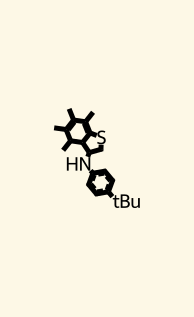 CC1=C(C)C(C)C2C(=C1C)SCC2Nc1ccc(C(C)(C)C)cc1